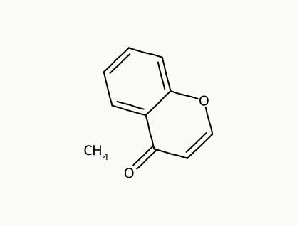 C.O=c1ccoc2ccccc12